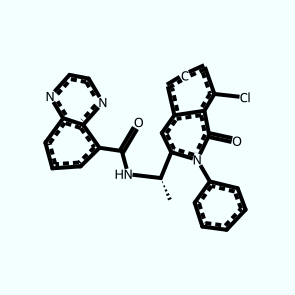 C[C@H](NC(=O)c1cccc2nccnc12)c1cc2cccc(Cl)c2c(=O)n1-c1ccccc1